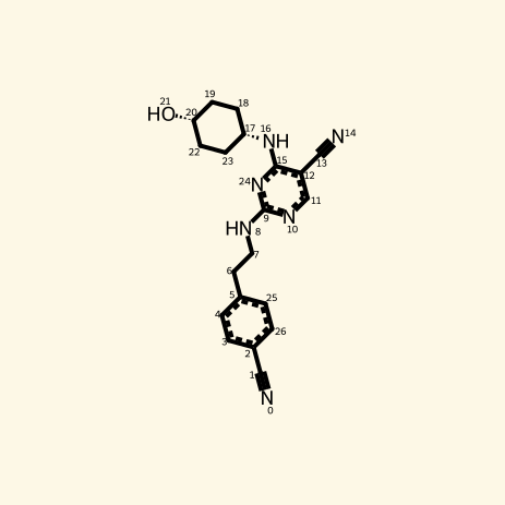 N#Cc1ccc(CCNc2ncc(C#N)c(N[C@H]3CC[C@@H](O)CC3)n2)cc1